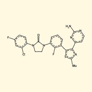 CC(C)(C)c1nc(-c2ccnc(N)n2)c(-c2cccc(N3CCN(c4ccc(F)cc4Cl)C3=O)c2F)s1